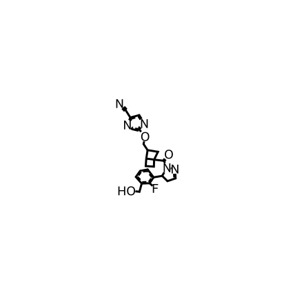 N#Cc1cnc(OCC2CC3(C(=O)N4N=CCC4c4cccc(CO)c4F)CCC23)cn1